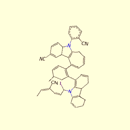 C/C=C(C#N)\C=C/C(I)N1C2=C(CCC=C2)C2CC=CC(C3=C(C4=CC=CCC5=C4C4C=C(C#N)C=CC4N5c4ccccc4C#N)C=CC(C)C3)=C21